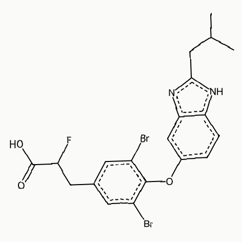 CC(C)Cc1nc2cc(Oc3c(Br)cc(CC(F)C(=O)O)cc3Br)ccc2[nH]1